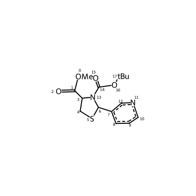 COC(=O)C1CSC(c2cccnc2)N1C(=O)OC(C)(C)C